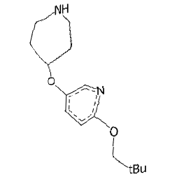 CC(C)(C)COc1ccc(OC2CCNCC2)cn1